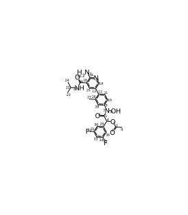 CC(=O)OC(C(=O)N(O)c1ccc(-c2cnc(N)c(C(=O)NC(C)C)c2)c(C)c1)c1cc(F)cc(F)c1